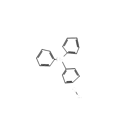 CC(=O)[O-].c1cc[c]([Pb+]([c]2ccccc2)[c]2ccccc2)cc1